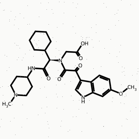 COc1ccc2c(C(=O)C(=O)N(CC(=O)O)[C@@H](C(=O)NC3CCN(C)CC3)C3CCCCC3)c[nH]c2c1